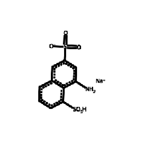 Nc1cc(S(=O)(=O)[O-])cc2cccc(S(=O)(=O)O)c12.[Na+]